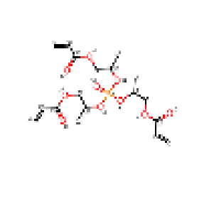 C=CC(=O)OCC(C)OP(=O)(OC(C)COC(=O)C=C)OC(C)COC(=O)C=C